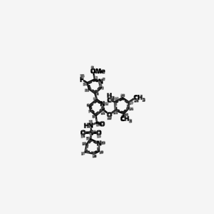 COc1ncc(-c2ccc(C(=O)NS(=O)(=O)c3ccccn3)c(Oc3c(C)cc(C)cc3C)n2)cc1F